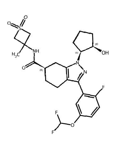 CC1(NC(=O)[C@@H]2CCc3c(-c4cc(OC(F)F)ccc4F)nn([C@H]4CCC[C@H]4O)c3C2)CS(=O)(=O)C1